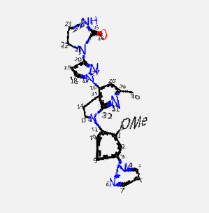 COc1cc(-n2cccn2)ccc1N1CCc2c(-n3ccc(N4CCNC4=O)n3)cc(C)nc21